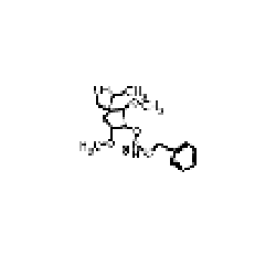 CCC1(CC)CC(OC)C(O[PH](=O)OCc2ccccc2)C1OC